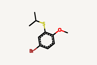 COc1ccc(Br)cc1SC(C)C